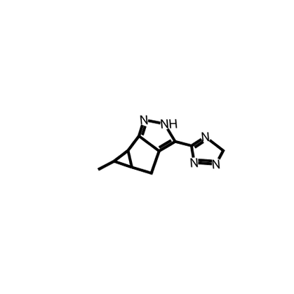 CC1C2Cc3c(n[nH]c3C3=NCN=N3)C12